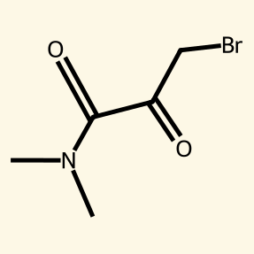 CN(C)C(=O)C(=O)CBr